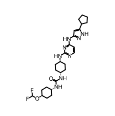 O=C(N[C@H]1CC[C@H](Nc2nccc(Nc3cc(C4CCCC4)[nH]n3)n2)CC1)N[C@H]1CC[C@H](OC(F)F)CC1